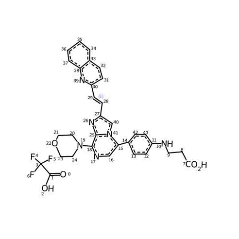 O=C(O)C(F)(F)F.O=C(O)CCNc1ccc(-c2cnc(N3CCOCC3)c3nc(/C=C/c4ccc5ccccc5n4)cn23)cc1